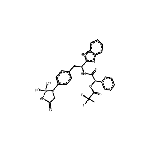 O=C1CC(c2ccc(C[C@H](NC(=O)C(OC(=O)C(F)(F)F)c3ccccc3)c3nc4ccccc4[nH]3)cc2)S(O)(O)N1